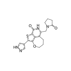 O=C1CCCN1Cc1[nH]c(=O)c2sc(-c3cn[nH]c3)c3c2c1CCCO3